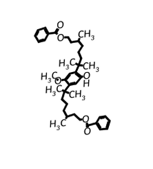 COc1cc(C(C)(C)CCCC(C)CCOC(=O)c2ccccc2)c(O)cc1C(C)(C)CCCC(C)CCOC(=O)c1ccccc1